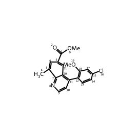 COC(=O)c1cc(C)c2nccc(-c3ccc(Cl)cc3OC)c2c1